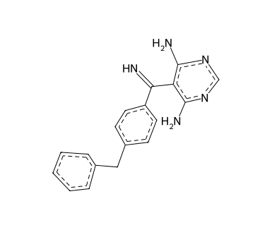 N=C(c1ccc(Cc2ccccc2)cc1)c1c(N)ncnc1N